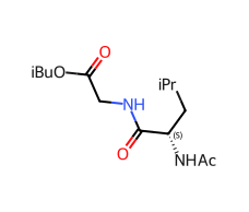 CC(=O)N[C@@H](CC(C)C)C(=O)NCC(=O)OCC(C)C